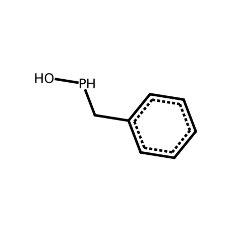 OPCc1ccccc1